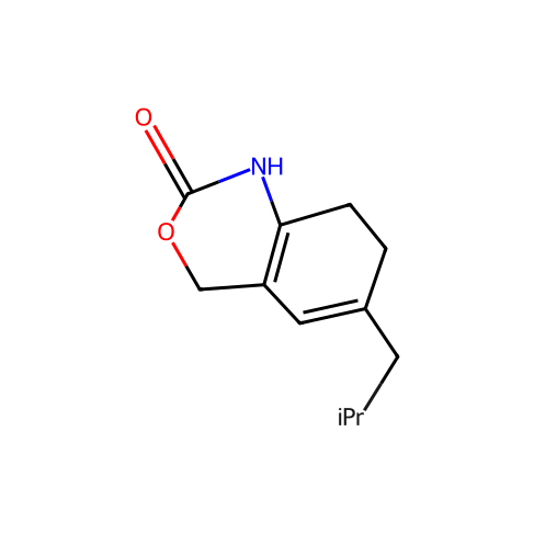 CC(C)CC1=CC2=C(CC1)NC(=O)OC2